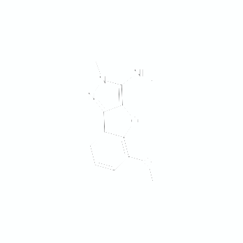 COc1cccc2c1oc1c(N)n(C)nc12